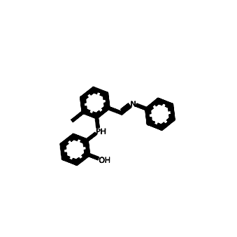 Cc1cccc(/C=N/c2ccccc2)c1Pc1ccccc1O